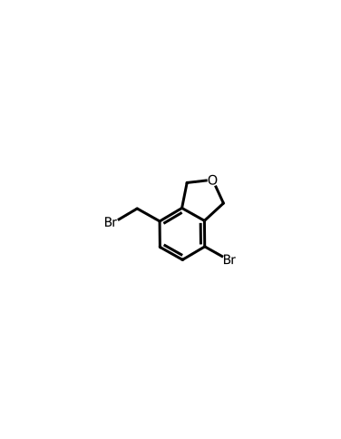 BrCc1ccc(Br)c2c1COC2